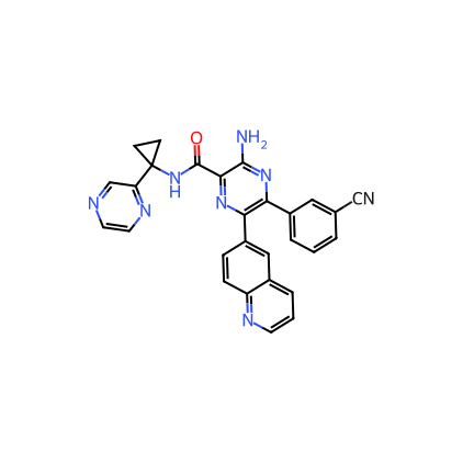 N#Cc1cccc(-c2nc(N)c(C(=O)NC3(c4cnccn4)CC3)nc2-c2ccc3ncccc3c2)c1